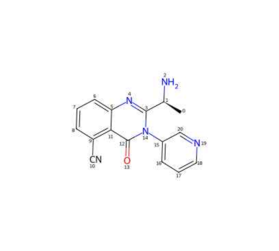 C[C@H](N)c1nc2cccc(C#N)c2c(=O)n1-c1cccnc1